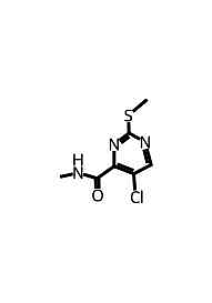 CNC(=O)c1nc(SC)ncc1Cl